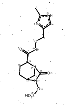 Cc1nc(CONC(=O)[C@@H]2CCC3CN2C(=O)N3OS(=O)(=O)O)c[nH]1